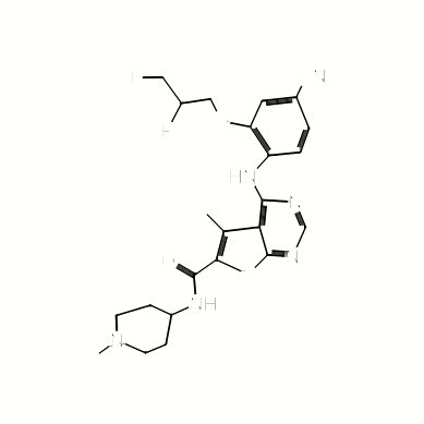 Cc1c(C(=O)NC2CCN(C)CC2)sc2ncnc(Nc3ccc(C#N)cc3OCC(F)CF)c12